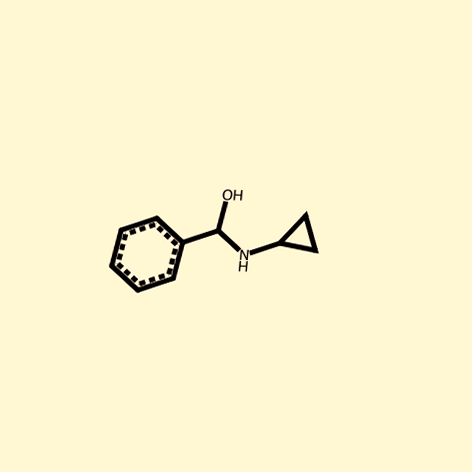 OC(NC1CC1)c1ccccc1